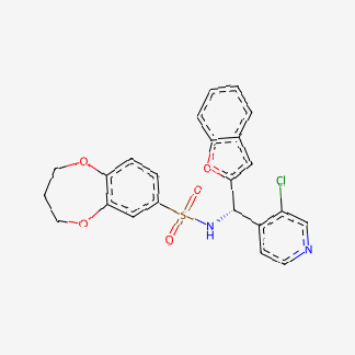 O=S(=O)(N[C@H](c1cc2ccccc2o1)c1ccncc1Cl)c1ccc2c(c1)OCCCO2